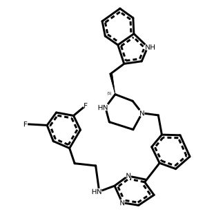 Fc1cc(F)cc(CCNc2nccc(-c3cccc(CN4CCN[C@@H](Cc5c[nH]c6ccccc56)C4)c3)n2)c1